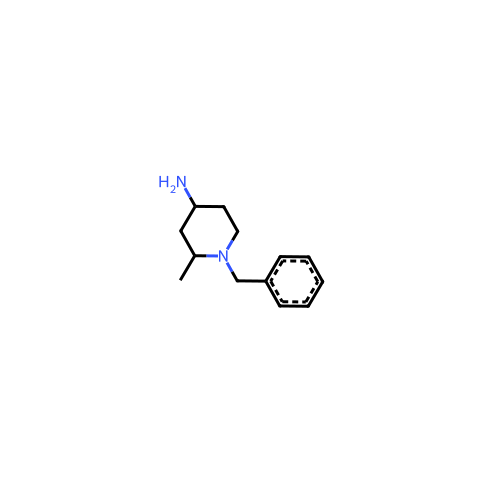 CC1CC(N)CCN1Cc1ccccc1